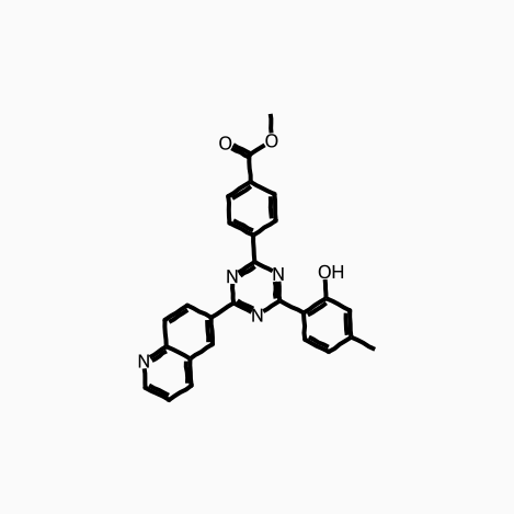 COC(=O)c1ccc(-c2nc(-c3ccc4ncccc4c3)nc(-c3ccc(C)cc3O)n2)cc1